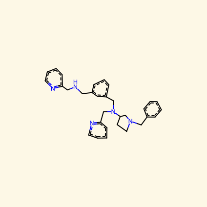 c1ccc(CN2CCC(N(Cc3cccc(CNCc4ccccn4)c3)Cc3ccccn3)C2)cc1